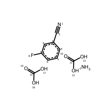 N.N#Cc1cccc(F)c1.O=C(O)O.O=C(O)O